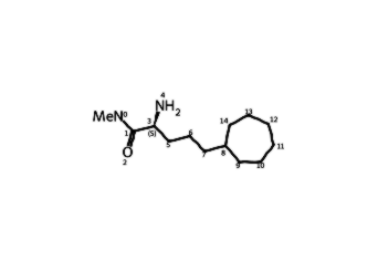 CNC(=O)[C@@H](N)CCCC1CCCCCC1